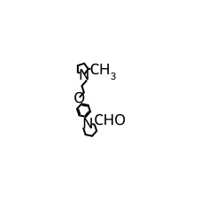 CC1CCCN1CCCOc1ccc(N2CCCCC2C=O)cc1